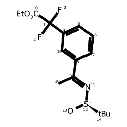 CCOC(=O)C(F)(F)c1cccc(C(C)=N[S@+]([O-])C(C)(C)C)c1